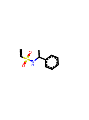 C=CS(=O)(=O)NC(C)c1ccccc1